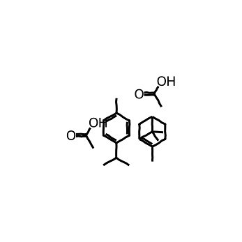 CC(=O)O.CC(=O)O.CC1=C2CC(CC1)C2(C)C.Cc1ccc(C(C)C)cc1